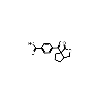 C=C(c1ccc(C(=O)O)cc1)C12CCCC1COC2=O